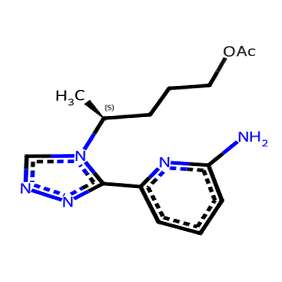 CC(=O)OCCC[C@H](C)n1cnnc1-c1cccc(N)n1